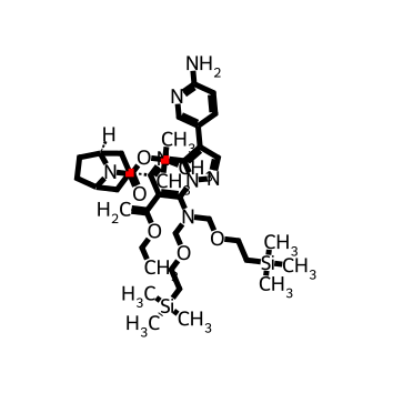 C=C(OCC)c1c([C@@H]2CC3CC[C@@H](C2)N3C(=O)OC(C)(C)C)nc2c(-c3ccc(N)nc3)cnn2c1N(COCC[Si](C)(C)C)COCC[Si](C)(C)C